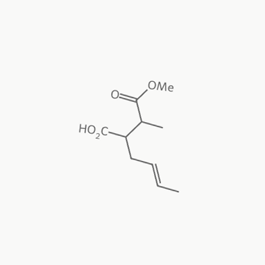 CC=CCC(C(=O)O)C(C)C(=O)OC